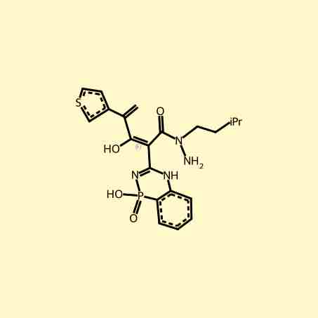 C=C(/C(O)=C(\C(=O)N(N)CCC(C)C)C1=NP(=O)(O)c2ccccc2N1)c1ccsc1